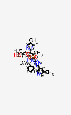 COc1cccc(OC)c1-n1c(NS(=O)(=O)[C@H](C)[C@@H](OCC(C)(C)O)c2ncc(C)cn2)nnc1-c1cncc(C)c1